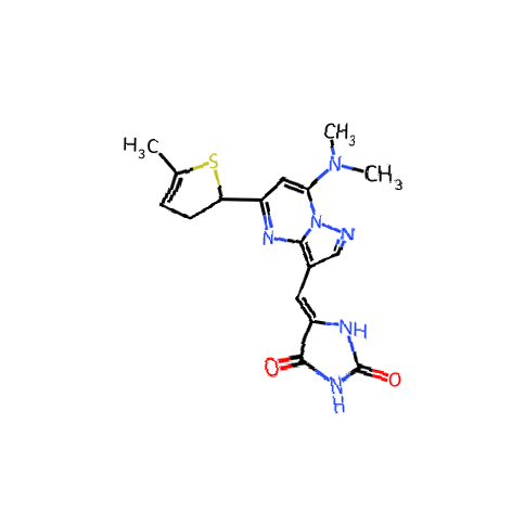 CC1=CCC(c2cc(N(C)C)n3ncc(/C=C4\NC(=O)NC4=O)c3n2)S1